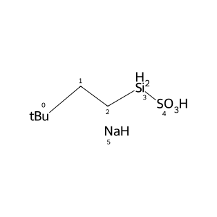 CC(C)(C)CC[SiH2]S(=O)(=O)O.[NaH]